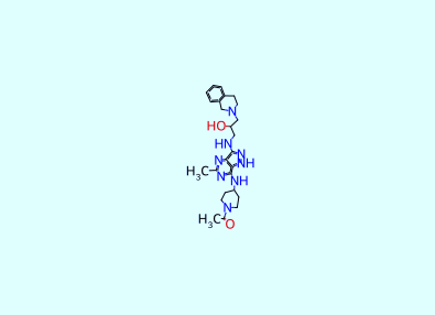 CC(=O)N1CCC(Nc2nc(C)nc3c(NCC(O)CN4CCc5ccccc5C4)n[nH]c23)CC1